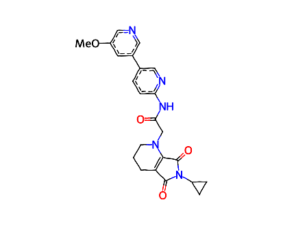 COc1cncc(-c2ccc(NC(=O)CN3CCCC4=C3C(=O)N(C3CC3)C4=O)nc2)c1